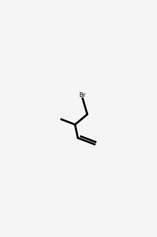 C=CC(C)CBr